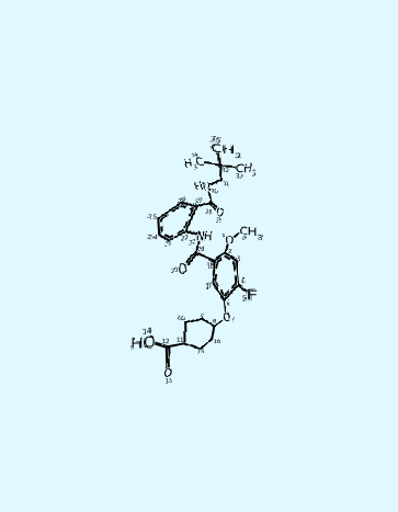 COc1cc(F)c(OC2CCC(C(=O)O)CC2)cc1C(=O)Nc1ccccc1C(=O)NCC(C)(C)C